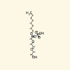 CCCCCCCCOCCOCCOCCO.O=S(=O)(O)O